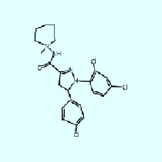 C[N+]1(NC(=O)C2=NN(c3ccc(Cl)cc3Cl)C(c3ccc(Cl)cc3)C2)CCCCC1